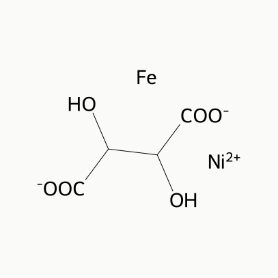 O=C([O-])C(O)C(O)C(=O)[O-].[Fe].[Ni+2]